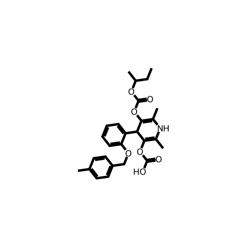 CCC(C)OC(=O)OC1=C(C)NC(C)=C(OC(=O)O)C1c1ccccc1OCc1ccc(C)cc1